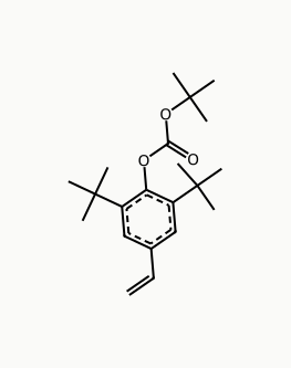 C=Cc1cc(C(C)(C)C)c(OC(=O)OC(C)(C)C)c(C(C)(C)C)c1